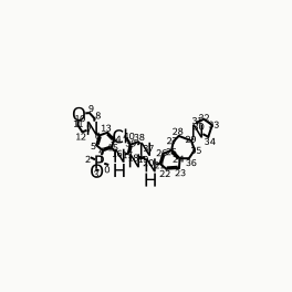 CP(C)(=O)c1cc(N2CCOCC2)ccc1Nc1nc(Nc2ccc3c(c2)CC[C@@H](N2CCCC2)CC3)ncc1Cl